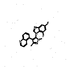 Cc1nn(C)c(-n2cnc3cc(F)cc(F)c32)c1-c1cccc2ncccc12